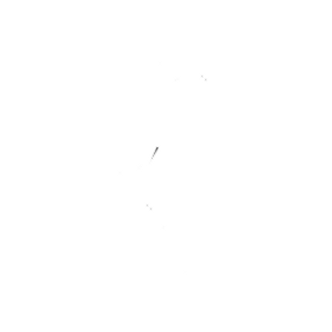 CC(C)(C)OC(=O)N1CCO[C@@H](c2ccc(C(N)=O)cc2)C1